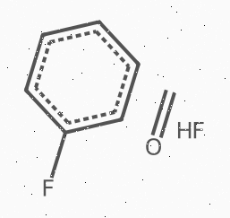 C=O.F.Fc1ccccc1